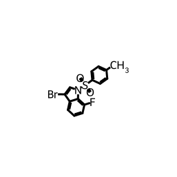 Cc1ccc(S(=O)(=O)n2cc(Br)c3cccc(F)c32)cc1